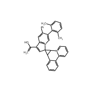 C=C(O)C1=CC2(C3c4ccccc4-c4cccc[n+]4C32)[n+]2cc(-c3c(C)cccc3C)c(C(C)C)cc21